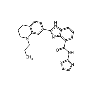 CCCN1CCCc2ccc(-c3nc4c(C(=O)Nc5nccs5)cccc4[nH]3)cc21